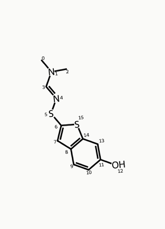 CN(C)/C=N/Sc1cc2ccc(O)cc2s1